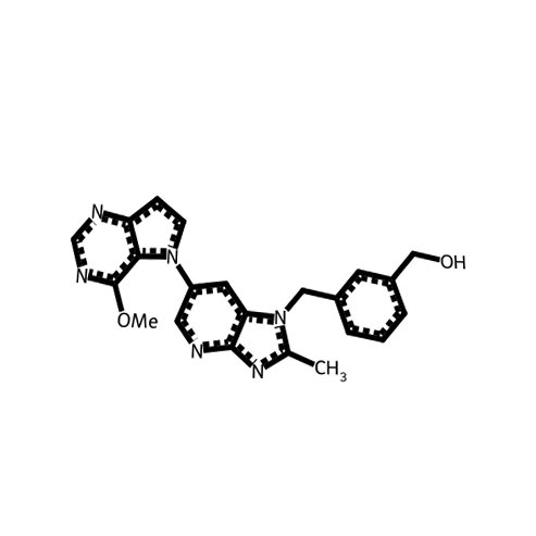 COc1ncnc2ccn(-c3cnc4nc(C)n(Cc5cccc(CO)c5)c4c3)c12